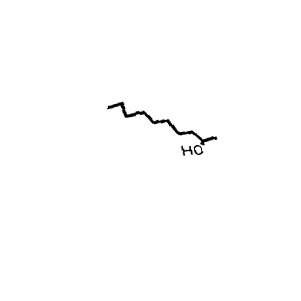 CCCCCCCC[C](C)O